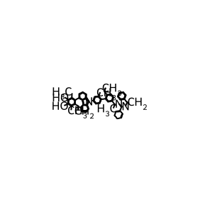 C=Cc1c(C)c(O)c(O)c(CC)c1-c1cccc2c1c1ccccc1n2-c1ccc(-c2cc(/C(C)=N/C(=N\C(=C)c3ccccc3)C3=CCCC=C3)ccc2CC)c(C)c1